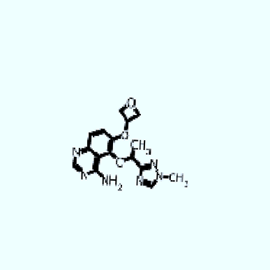 CC(Oc1c(OC2COC2)ccc2ncnc(N)c12)c1ncn(C)n1